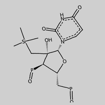 C[Si](C)(C)C[C@]1(O)[C@H](P=O)[C@@H](CP=O)O[C@H]1n1ccc(=O)[nH]c1=O